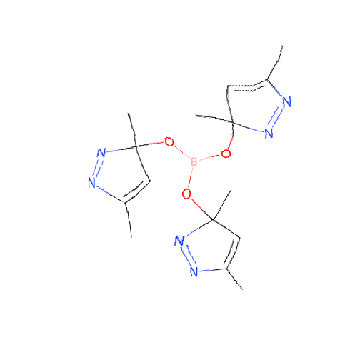 CC1=CC(C)(OB(OC2(C)C=C(C)N=N2)OC2(C)C=C(C)N=N2)N=N1